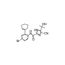 CC(C)(O)c1[nH]c(C(=O)Nc2ccc(Br)cc2C2=CCCCC2)nc1C#N